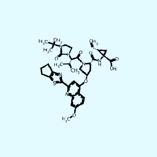 C=C[C@@H]1C[C@]1(NC(=O)[C@@H]1C[C@@H](Oc2cc(-c3nc4c(s3)CCC4)nc3cc(OC)ccc23)CN1C(=O)[C@H](C(C)C)N1CCN(C(C)(C)C)C1=O)C(=O)O